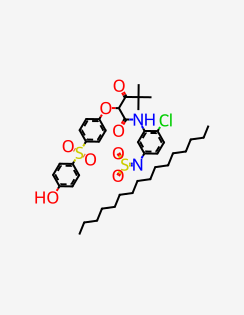 CC(C)(C)C(=O)C(Oc1ccc(S(=O)(=O)c2ccc(O)cc2)cc1)C(=O)Nc1cc(N=S(=O)=O)ccc1Cl.CCCCCCCCCCCCCCCC